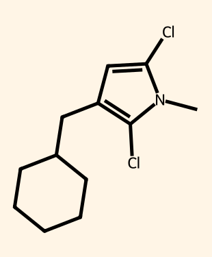 Cn1c(Cl)cc(CC2CCCCC2)c1Cl